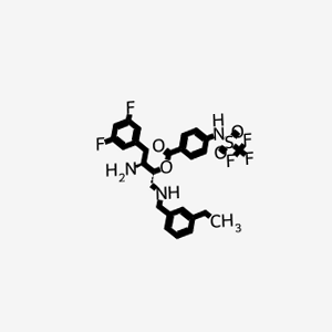 CCc1cccc(CNC[C@@H](OC(=O)c2ccc(NS(=O)(=O)C(F)(F)F)cc2)[C@@H](N)Cc2cc(F)cc(F)c2)c1